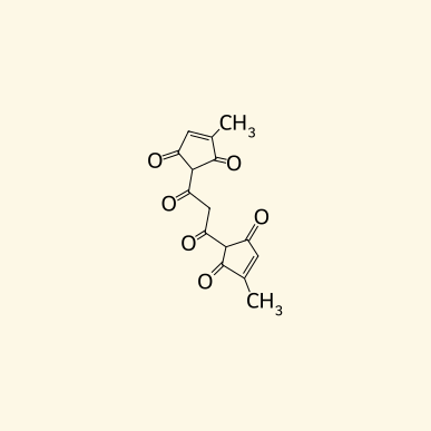 CC1=CC(=O)C(C(=O)CC(=O)C2C(=O)C=C(C)C2=O)C1=O